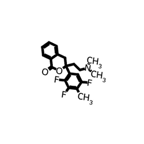 Cc1c(F)cc(C2(CCN(C)C)Cc3ccccc3C(=O)O2)c(F)c1F